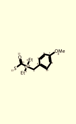 CC[N+](CC)(Cc1ccc(OC)cc1)C(=O)[S-]